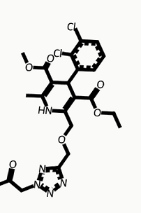 CCOC(=O)C1=C(COCc2nnn(CC(N)=O)n2)NC(C)=C(C(=O)OC)C1c1cccc(Cl)c1Cl